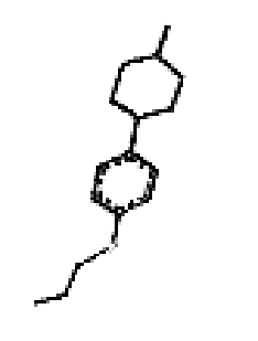 CCCOc1ccc(C2CCC(C)CC2)cc1